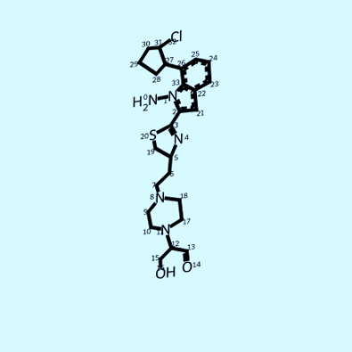 Nn1c(C2=NC(CCN3CCN(C(C=O)CO)CC3)CS2)cc2cccc(C3CCCC3Cl)c21